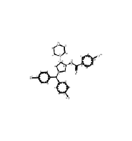 O=C(N[C@H]1CN(C(c2ccc(Cl)cc2)c2ccc(Cl)cc2)C[C@@H]1N1CCOCC1)c1ccc(Cl)cc1